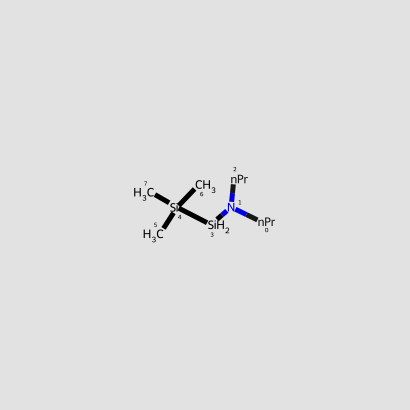 CCCN(CCC)[SiH2][Si](C)(C)C